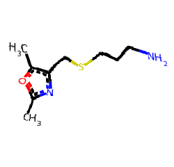 Cc1nc(CSCCCN)c(C)o1